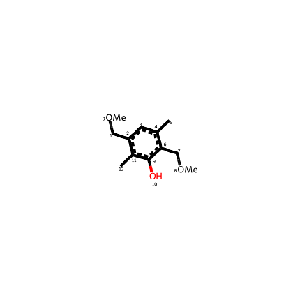 COCc1cc(C)c(COC)c(O)c1C